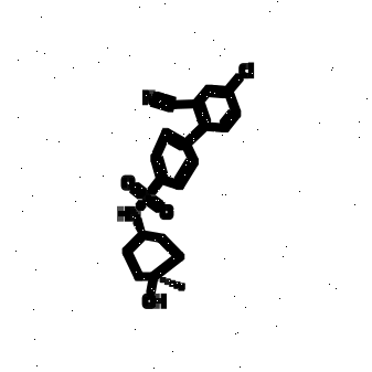 C[C@]1(O)CC[C@@H](NS(=O)(=O)c2ccc(-c3ccc(Cl)cc3C#N)cc2)CC1